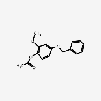 COc1cc(OCc2ccccc2)ccc1OC(C)=O